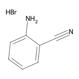 Br.N#Cc1ccccc1N